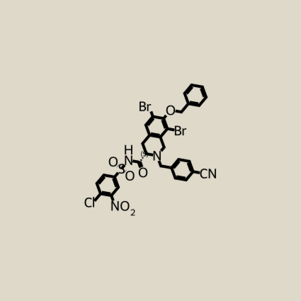 N#Cc1ccc(CN2Cc3c(cc(Br)c(OCc4ccccc4)c3Br)C[C@H]2C(=O)NS(=O)(=O)c2ccc(Cl)c([N+](=O)[O-])c2)cc1